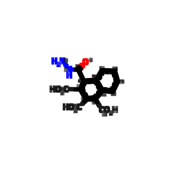 NNC(=O)c1c(C(=O)O)c(C(=O)O)c(C(=O)O)c2ccccc12